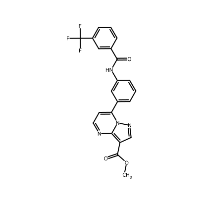 COC(=O)c1cnn2c(-c3cccc(NC(=O)c4cccc(C(F)(F)F)c4)c3)ccnc12